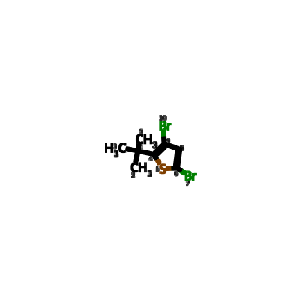 CC(C)(C)c1sc(Br)cc1Br